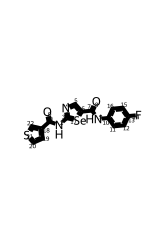 O=C(Nc1ncc(C(=O)Nc2ccc(F)cc2)[se]1)c1ccsc1